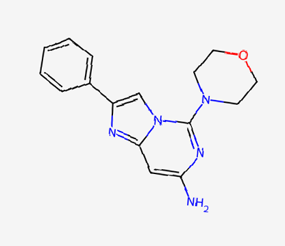 Nc1cc2nc(-c3ccccc3)cn2c(N2CCOCC2)n1